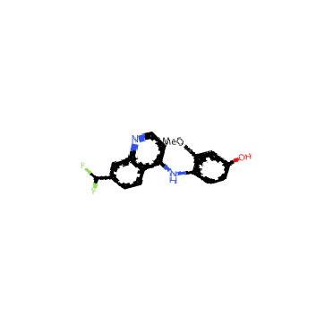 COc1cc(O)ccc1Nc1ccnc2cc(C(F)F)ccc12